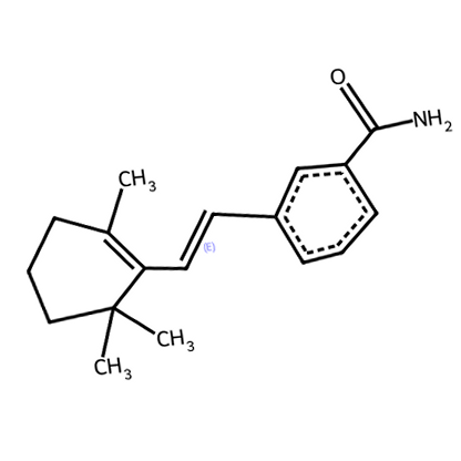 CC1=C(/C=C/c2cccc(C(N)=O)c2)C(C)(C)CCC1